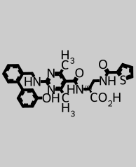 Cc1nc(NCc2ccccc2-c2cccc(O)c2)nc(C)c1C(=O)N[C@@H](CNC(=O)c1cccs1)C(=O)O